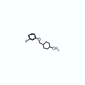 CC1CCC(COc2cccc(F)c2)CC1